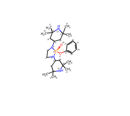 CC1(C)CC(N2CCN(C3CC(C)(C)NC(C)(C)C3)P2(=O)Oc2ccccc2)CC(C)(C)N1